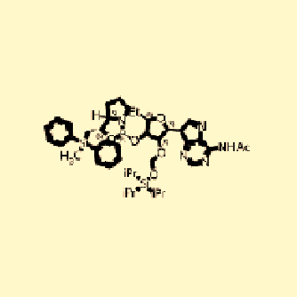 CC[C@H]1O[C@@H](C2C=Nc3c(NC(C)=O)ncnc32)[C@@H](OCO[Si](C(C)C)(C(C)C)C(C)C)C1O[P@@]1O[C@H](C[Si](C)(c2ccccc2)c2ccccc2)[C@@H]2CCCN21